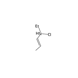 CC=C[SiH](Cl)CC